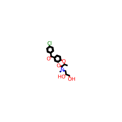 CC(Oc1ccc(C(=O)c2ccc(Cl)cc2)cc1)C(=O)N(C)CC(O)CO